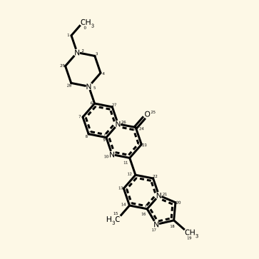 CCN1CCN(c2ccc3nc(-c4cc(C)c5nc(C)cn5c4)cc(=O)n3c2)CC1